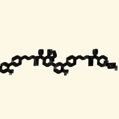 CN1CCC(C(=O)NCCCc2ccc(-c3cc(-c4ccc(C(=O)NCCCc5ccc(-c6ccccc6F)cc5)c5nccn45)ccc3F)cc2)CC1